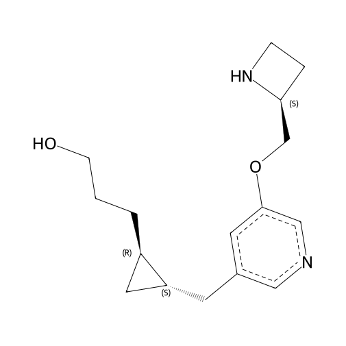 OCCC[C@@H]1C[C@H]1Cc1cncc(OC[C@@H]2CCN2)c1